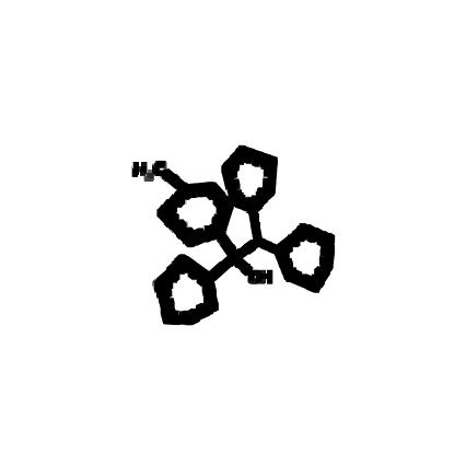 Cc1ccc(C(O)(c2ccccc2)C(c2ccccc2)c2ccccc2)cc1